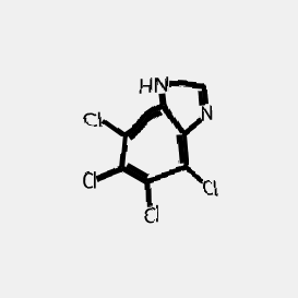 Clc1c(Cl)c(Cl)c2[nH]cnc2c1Cl